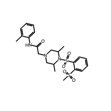 Cc1ccccc1NC(=O)CN1CC(C)N(S(=O)(=O)c2ccccc2S(C)(=O)=O)C(C)C1